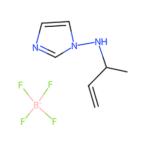 C=CC(C)Nn1ccnc1.F[B-](F)(F)F